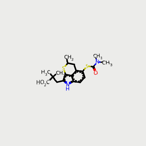 CC1Cc2c(SC(=O)N(C)C)ccc3[nH]c(CC(C)(C)C(=O)O)c(c23)S1